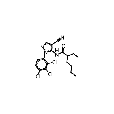 CCCCC(CC)C(=O)Nc1c(C#N)cnn1-c1ccc(Cl)c(Cl)c1Cl